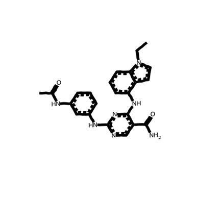 CCn1ccc2c(Nc3nc(Nc4cccc(NC(C)=O)c4)ncc3C(N)=O)cccc21